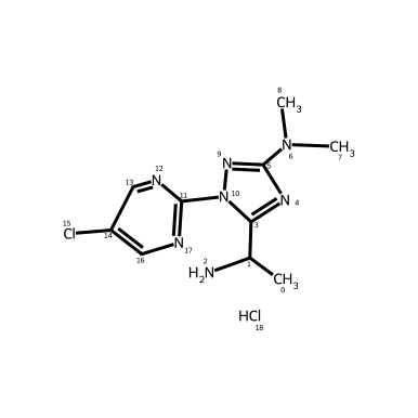 CC(N)c1nc(N(C)C)nn1-c1ncc(Cl)cn1.Cl